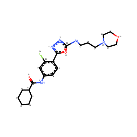 O=C(Nc1ccc(-c2nnc(NCCCN3CCOCC3)o2)c(F)c1)C1CCCCC1